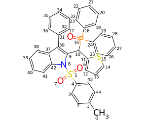 Cc1ccc(S(=O)(=O)n2c(C(c3cccs3)P(=O)(c3ccccc3)c3ccccc3)c(-c3ccccc3)c3ccccc32)cc1